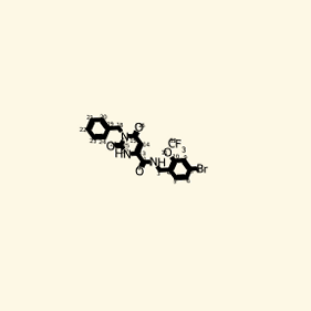 O=C(NCc1ccc(Br)cc1OC(F)(F)F)c1cc(=O)n(Cc2ccccc2)c(=O)[nH]1